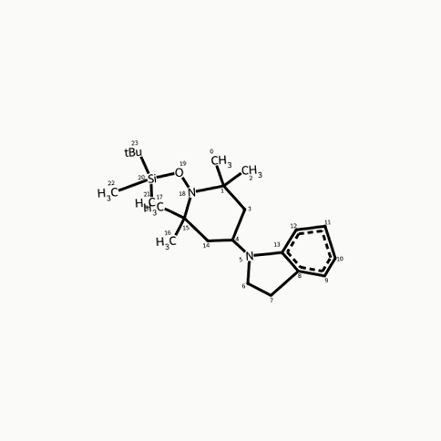 CC1(C)CC(N2CCc3ccccc32)CC(C)(C)N1O[Si](C)(C)C(C)(C)C